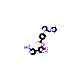 CNc1cc(-c2c[nH]c(=O)c(NC(=O)c3ccc(N4CCCC4CN4CCCC4)cc3)c2)ccn1